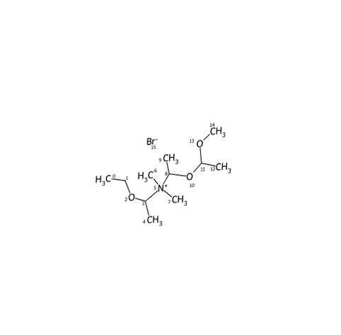 CCOC(C)[N+](C)(C)C(C)OC(C)OC.[Br-]